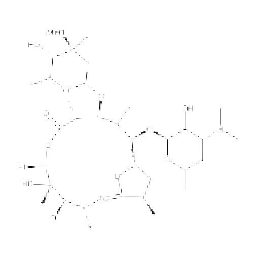 CC[C@H]1OC(=O)[C@H](C)[C@@H](O[C@H]2C[C@](C)(OC)[C@@H](O)C(C)O2)[C@H](C)[C@@H](O[C@@H]2OC(C)C[C@@H](N(C)C)C2O)[C@@]2(C)C[C@@H](C)/C(=N\[C@H](C)[C@@H](O)[C@]1(C)O)O2